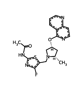 CC(=O)Nc1nc(F)c(CN2C[C@H](Oc3nccc4ncccc34)C[C@@H]2C)s1